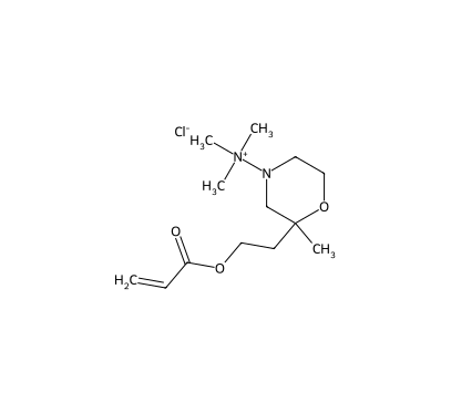 C=CC(=O)OCCC1(C)CN([N+](C)(C)C)CCO1.[Cl-]